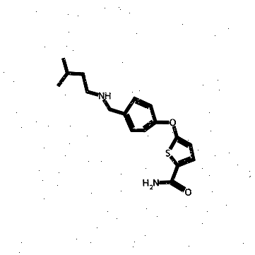 CC(C)CCNCc1ccc(Oc2ccc(C(N)=O)s2)cc1